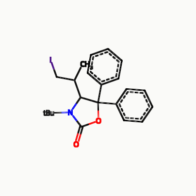 CC(CI)C1N(C(C)(C)C)C(=O)OC1(c1ccccc1)c1ccccc1